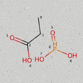 CCC(=O)O.O=[PH](O)O